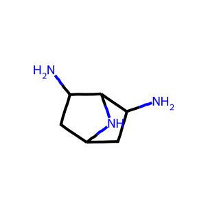 NC1CC2CC(N)C1N2